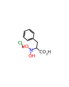 CCl.O=C(O)C(Cc1ccccc1)N(O)O